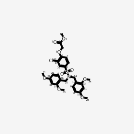 COC(=O)COc1ccc(S(=O)(=O)N(Cc2ccc(OC)cc2OC)Cc2ccc(OC)cc2OC)cc1Cl